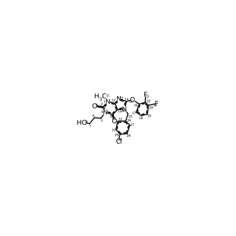 Cn1c(=O)n(CCCO)c(=O)c2c1nc(Oc1cccc(F)c1F)n2Cc1ccc(Cl)cc1